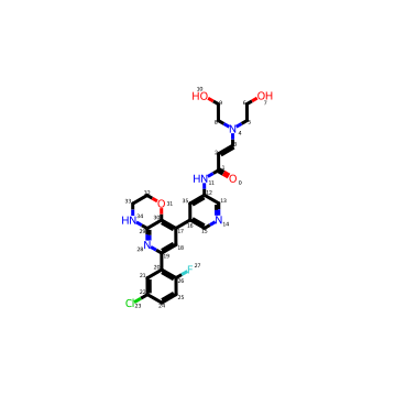 O=C(C=CN(CCO)CCO)Nc1cncc(-c2cc(-c3cc(Cl)ccc3F)nc3c2OCCN3)c1